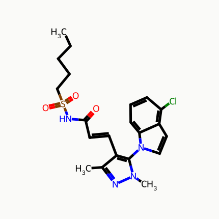 CCCCCS(=O)(=O)NC(=O)C=Cc1c(C)nn(C)c1-n1ccc2c(Cl)cccc21